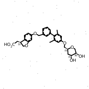 Cc1cc(OC[C@@H]2C[C@H](O)[C@H](O)CO2)cc(C)c1-c1cccc(COc2ccc3c(c2)OC[C@H]3CC(=O)O)c1